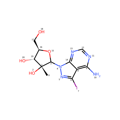 C[C@]1(O)C(n2nc(I)c3c(N)ncnc32)O[C@H](CO)[C@H]1O